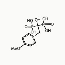 COc1cc[n+](CC(O)(P(=O)(O)O)P(=O)(O)O)cc1